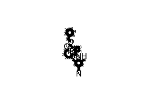 Cc1cc(C#N)cc(C)c1NC(=O)C1([PH]2(CC(=O)OCc3ccccc3)CCCCCC2)CCC1